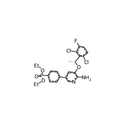 CCOP(=O)(OCC)c1ccc(-c2cnc(N)c(O[C@H](C)c3c(Cl)ccc(F)c3Cl)c2)cc1